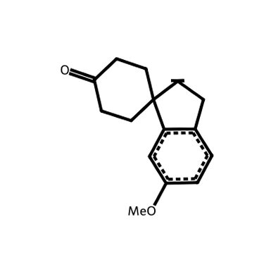 COc1ccc2c(c1)C1(CCC(=O)CC1)C1(CCCC1)C2